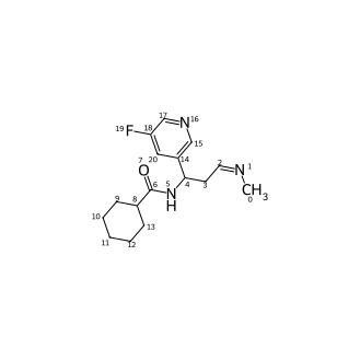 C/N=C\CC(NC(=O)C1CCCCC1)c1cncc(F)c1